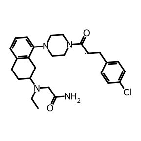 CCN(CC(N)=O)C1CCc2cccc(N3CCN(C(=O)[CH]Cc4ccc(Cl)cc4)CC3)c2C1